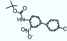 CC(C)(C)OC(=O)Nc1ccc(-c2ccc(Cl)cc2)cc1[N+](=O)[O-]